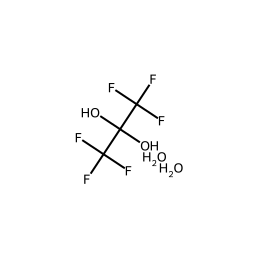 O.O.OC(O)(C(F)(F)F)C(F)(F)F